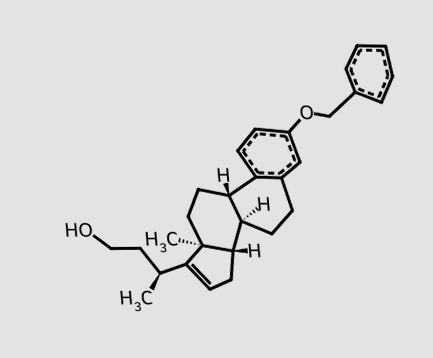 C[C@@H](CCO)C1=CC[C@H]2[C@@H]3CCc4cc(OCc5ccccc5)ccc4[C@H]3CC[C@]12C